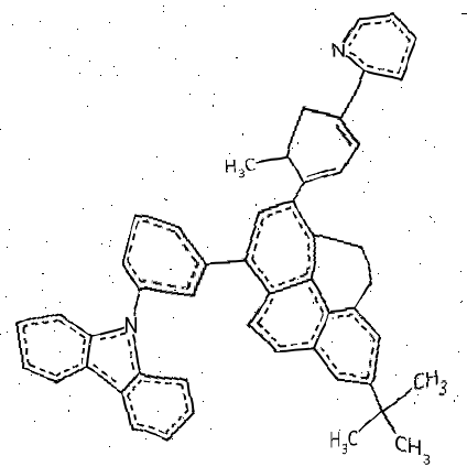 CC1CC(c2ccccn2)=CC=C1c1cc(-c2cccc(-n3c4ccccc4c4ccccc43)c2)c2ccc3cc(C(C)(C)C)cc4c3c2c1CC4